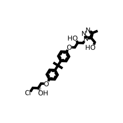 Cc1nnn(CC(O)COc2ccc(C(C)(C)c3ccc(OC[C@H](O)CCl)cc3)cc2)c1CO